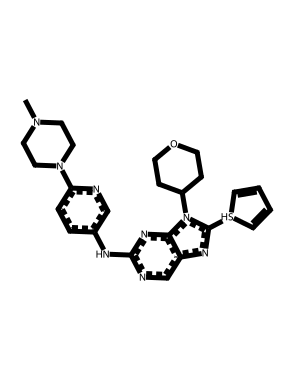 CN1CCN(c2ccc(Nc3ncc4nc([SH]5C=CC=C5)n(C5CCOCC5)c4n3)cn2)CC1